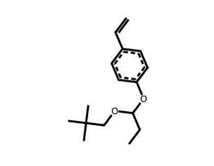 C=Cc1ccc(OC(CC)OCC(C)(C)C)cc1